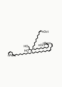 CCCCC/C=C\C/C=C\CCCCCCCCN(CCCCCCCC/C=C\C/C=C\CCCCC)C(C(O)CO)N(CCCCCCCC/C=C\CCCCCCCC)CCCCCCCC/C=C\CCCCCCCC